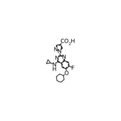 O=C(O)c1cnn(-c2nc(NC3CC3)c3cc(OC4CCCCC4)c(F)cc3n2)c1